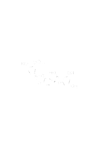 COc1cc([C@@H]2COc3ccc([C@H]4Oc5cc(O)cc(O)c5C[C@@H]4O)cc3O2)ccc1O